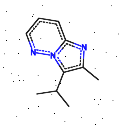 Cc1nc2cccnn2c1C(C)C